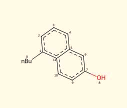 CCCCc1cccc2cc(O)ccc12